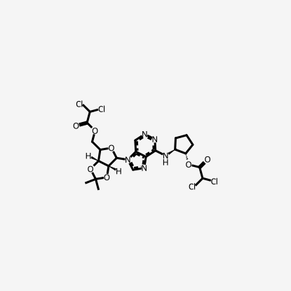 CC1(C)O[C@@H]2C(COC(=O)C(Cl)Cl)OC(n3cnc4c(N[C@H]5CCC[C@@H]5OC(=O)C(Cl)Cl)nncc43)[C@@H]2O1